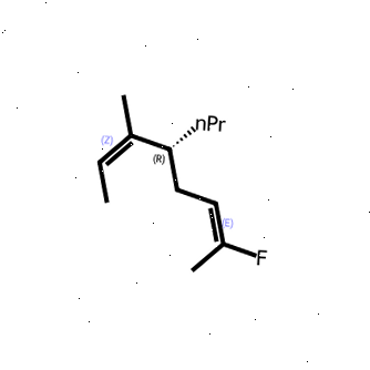 C/C=C(/C)[C@@H](C/C=C(\C)F)CCC